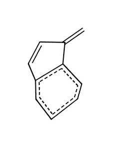 C=C1C=Cc2ccccc21